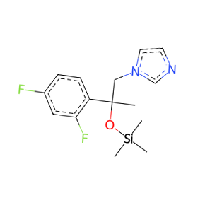 CC(Cn1ccnc1)(O[Si](C)(C)C)c1ccc(F)cc1F